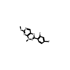 CSc1ncc2c(n1)N(C)N=C(c1ccc(F)cc1F)O2